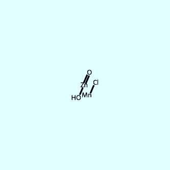 [Cl][Mn].[O]=[Zn][OH]